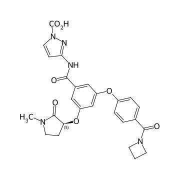 CN1CC[C@H](Oc2cc(Oc3ccc(C(=O)N4CCC4)cc3)cc(C(=O)Nc3ccn(C(=O)O)n3)c2)C1=O